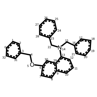 c1ccc(COc2ccc3cccc(N(Cc4ccccc4)Cc4ccccc4)c3c2)cc1